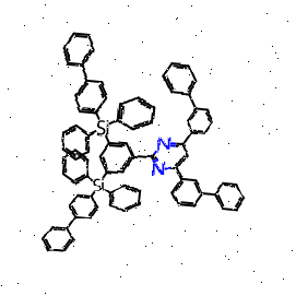 c1ccc(-c2ccc([Si](c3ccccc3)(c3ccccc3)c3cc(-c4nc(-c5cccc(-c6ccccc6)c5)cc(-c5cccc(-c6ccccc6)c5)n4)cc([Si](c4ccccc4)(c4ccccc4)c4ccc(-c5ccccc5)cc4)c3)cc2)cc1